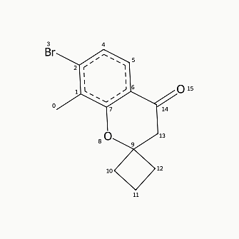 Cc1c(Br)ccc2c1OC1(CCC1)CC2=O